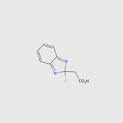 O=C(O)CC1(F)N=c2ccccc2=N1